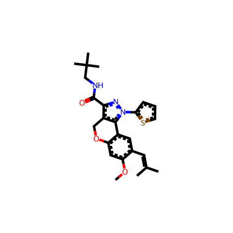 COc1cc2c(cc1C=C(C)C)-c1c(c(C(=O)NCC(C)(C)C)nn1-c1cccs1)CO2